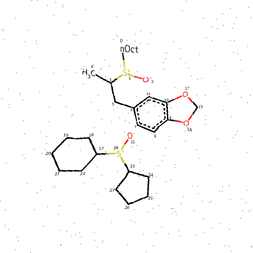 CCCCCCCC[S+]([O-])C(C)Cc1ccc2c(c1)OCO2.[O-][S+](C1CCCCC1)C1CCCC1